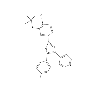 CC1(C)CSc2ccc(-c3cc(-c4ccncc4)c(-c4ccc(F)cc4)[nH]3)cc2C1